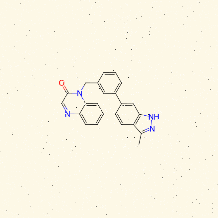 Cc1n[nH]c2cc(-c3cccc(Cn4c(=O)cnc5ccccc54)c3)ccc12